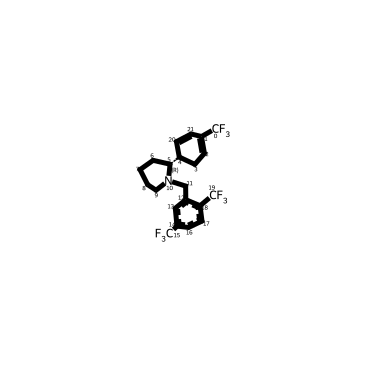 FC(F)(F)C1=CCC([C@H]2CCCCN2Cc2cc(C(F)(F)F)ccc2C(F)(F)F)C=C1